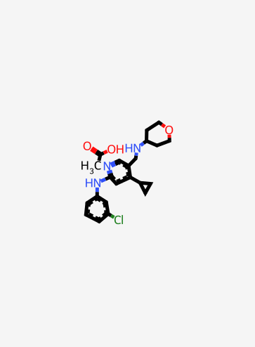 CC(=O)O.Clc1cccc(Nc2cc(C3CC3)c(CNC3CCOCC3)cn2)c1